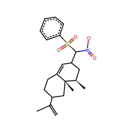 C=C(C)C1CCC2=CC(C([N+](=O)[O-])S(=O)(=O)c3ccccc3)C[C@@H](C)[C@]2(C)C1